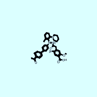 COc1cc(CC(=O)NN(c2ccc(-c3ccc(C(C)=O)cc3)cc2)c2c(C)cccc2N2CCCCC2)c(Br)cc1C(=O)O